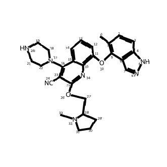 Cc1ccc2[nH]ncc2c1Oc1cccc2c(N3CCNCC3)c(C#N)c(OCC3CCCN3C)nc12